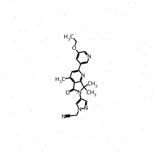 CCOc1cncc(-c2cc(C)c3c(n2)C(C)(C)N(c2cnn(CC#N)c2)C3=O)c1